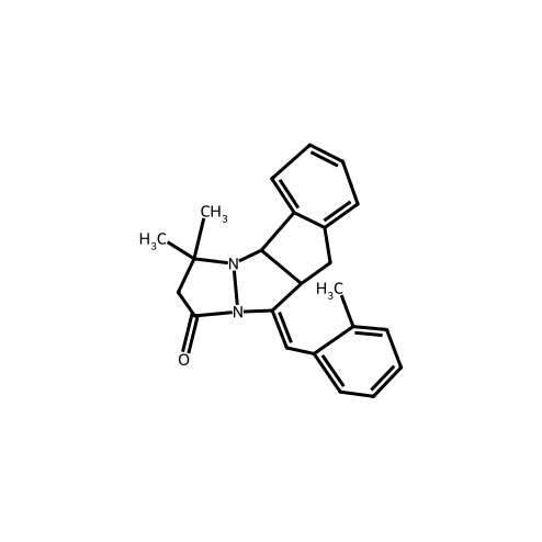 Cc1ccccc1/C=C1\C2Cc3ccccc3C2N2N1C(=O)CC2(C)C